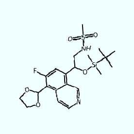 CC(C)(C)[Si](C)(C)OC(CNS(C)(=O)=O)c1cc(F)c(C2OCCO2)c2ccncc12